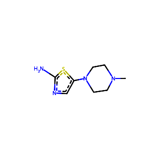 CN1CCN(c2cnc(N)s2)CC1